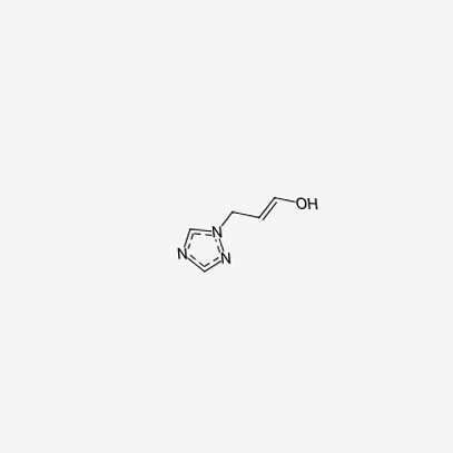 OC=CCn1cncn1